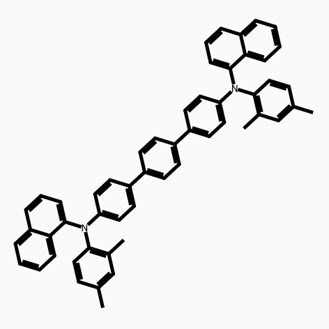 Cc1ccc(N(c2ccc(-c3ccc(-c4ccc(N(c5ccc(C)cc5C)c5cccc6ccccc56)cc4)cc3)cc2)c2cccc3ccccc23)c(C)c1